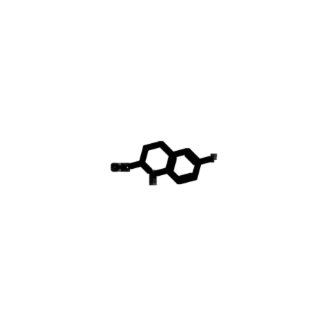 O=CC1CCc2cc(F)ccc2N1